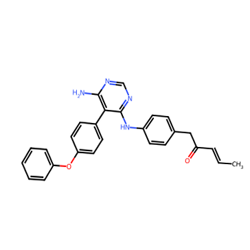 CC=CC(=O)Cc1ccc(Nc2ncnc(N)c2-c2ccc(Oc3ccccc3)cc2)cc1